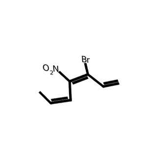 C=C/C(Br)=C(\C=C/C)[N+](=O)[O-]